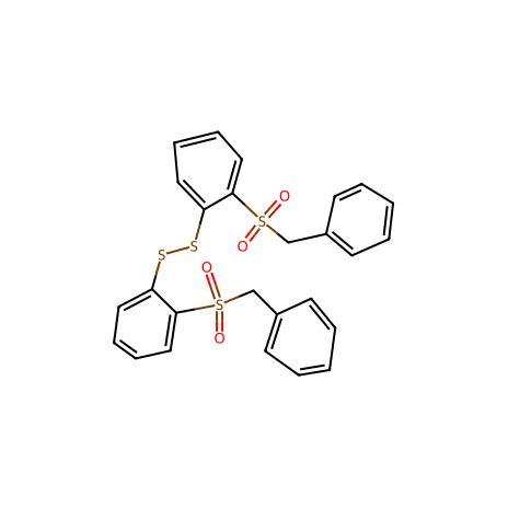 O=S(=O)(Cc1ccccc1)c1ccccc1SSc1ccccc1S(=O)(=O)Cc1ccccc1